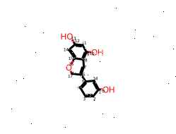 Oc1cccc(C2=Cc3c(O)cc(O)cc3OC2)c1